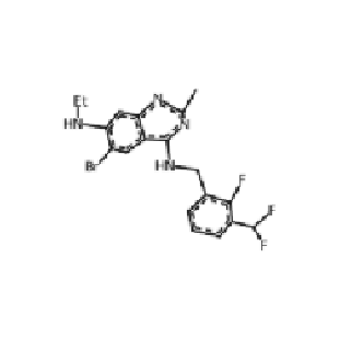 CCNc1cc2nc(C)nc(NCc3cccc(C(F)F)c3F)c2cc1Br